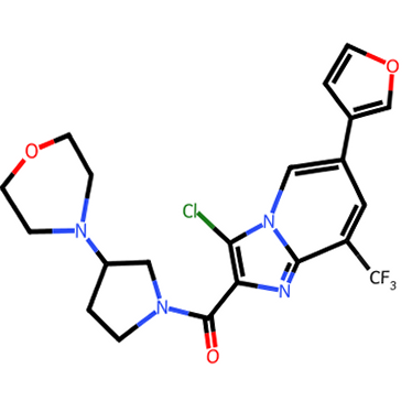 O=C(c1nc2c(C(F)(F)F)cc(-c3ccoc3)cn2c1Cl)N1CCC(N2CCOCC2)C1